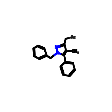 CC(=O)Cc1nn(Cc2ccccc2)c(-c2ccccc2)c1C